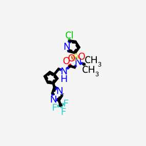 CC(C)N(CC(=O)NCc1cccc(-c2cnc(C(F)(F)F)cn2)c1)S(=O)(=O)c1ccc(Cl)nc1